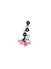 NC(CO)(CCc1ccc(Sc2cccc(OCc3ccccc3)c2)cc1Cl)CCP(=O)(O)O